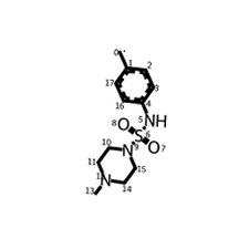 [CH2]c1ccc(NS(=O)(=O)N2CCN(C)CC2)cc1